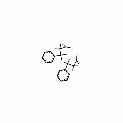 CC(C)C(OC(c1ccccc1)(C(C)C)C1(Br)OC1Br)(c1ccccc1)C1(Br)OC1Br